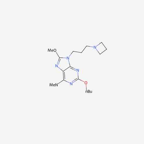 CCCCOc1nc(NC)c2nc(OC)n(CCCN3CCC3)c2n1